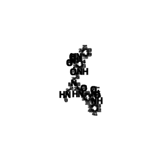 CCNCCCN(CCC(=O)Nc1ccc(Nc2ccccc2)c([N+](=O)[O-])c1)CCC(=O)Nc1ccc(Nc2ccccc2)c([N+](=O)[O-])c1